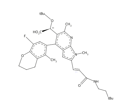 Cc1nc2c(cc(/C=C/C(=O)NCCC(C)(C)C)n2C)c(-c2cc(F)c3c(c2C)CCCO3)c1[C@H](OC(C)(C)C)C(=O)O